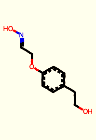 OCCc1ccc(OCC=NO)cc1